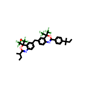 CCC(C)C1=Nc2ccc(Cc3ccc4c(c3)C(C(F)(F)F)(C(F)(F)F)OC(c3ccc(C(C)(C)CC)cc3)=N4)cc2C(C(F)(F)F)(C(F)(F)F)O1